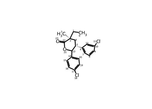 CC[C@@]1(C)C[C@H](c2cccc(Cl)c2)C(c2ccc(Cl)cc2)OC1=O